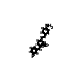 Cl.Cl.NC1CCC(CCN2CCC(Cc3cccc(F)c3)CC2)CC1